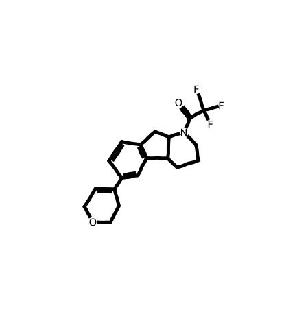 O=C(N1CCCC2c3cc(C4=CCOCC4)ccc3CC21)C(F)(F)F